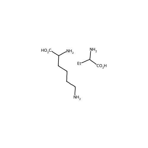 CCC(N)C(=O)O.NCCCCC(N)C(=O)O